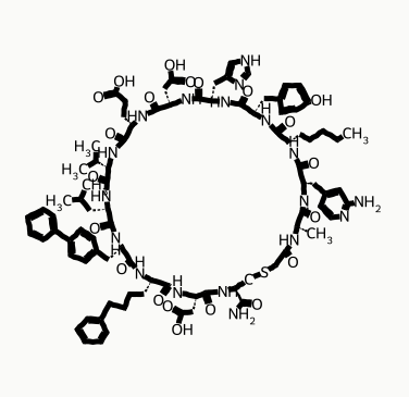 CCCCC[C@@H]1NC(=O)[C@H](Cc2ccnc(N)c2)NC(=O)[C@H](C)NC(=O)CSC[C@@H](C(N)=O)NC(=O)[C@H](CC(=O)O)NC(=O)[C@H](CCCCc2ccccc2)NC(=O)[C@H](Cc2ccc(-c3ccccc3)cc2)NC(=O)[C@H](CC(C)C)NC(=O)[C@H](C(C)C)NC(=O)[C@H](CCC(=O)O)NC(=O)[C@H](CC(=O)O)NC(=O)[C@H](Cc2c[nH]cn2)NC(=O)[C@H](Cc2ccc(O)cc2)NC1=O